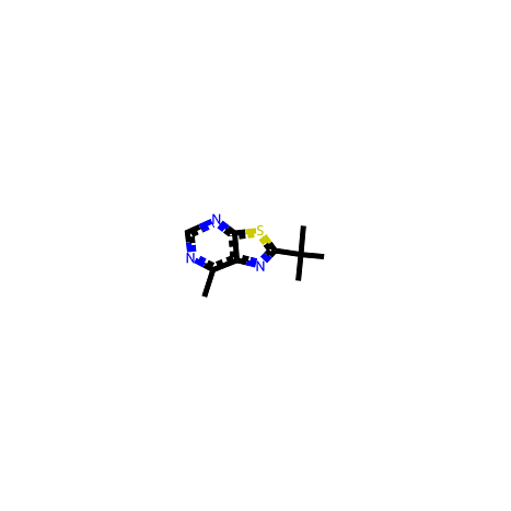 Cc1ncnc2sc(C(C)(C)C)nc12